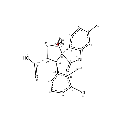 Cc1ccc2c(c1)NC(=O)[C@]21[C@@H](c2cccc(Cl)c2F)[C@H](C(=O)O)NC12CCCCC2